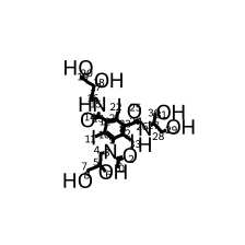 CC(=O)N(CC(O)CO)c1c(I)c(C(=O)NCC(O)CO)c(I)c(C(=O)NC(CO)CO)c1I